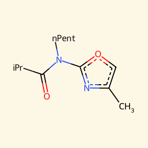 CCCCCN(C(=O)C(C)C)c1nc(C)co1